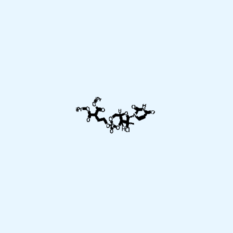 CC(C)OC(=O)C(CCO[P@@]1(=O)OC[C@H]2O[C@@H](n3ccc(=O)[nH]c3=O)[C@](C)(Cl)[C@@H]2O1)C(=O)OC(C)C